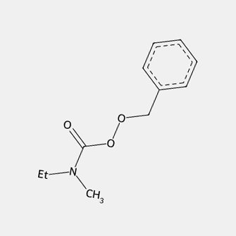 CCN(C)C(=O)OOCc1ccccc1